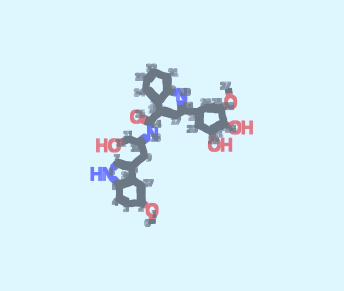 COc1ccc2[nH]cc(C/C(CO)=N/C(=O)c3cc(-c4cc(O)c(O)c(OC)c4)nc4ccccc34)c2c1